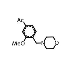 COc1cc(C(C)=O)ccc1CN1CCOCC1